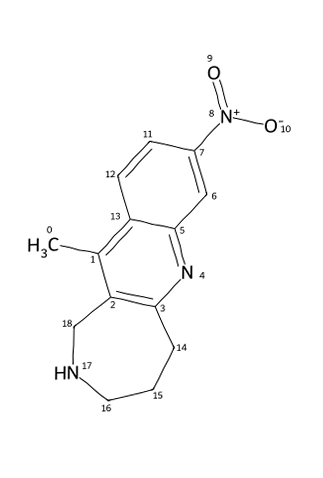 Cc1c2c(nc3cc([N+](=O)[O-])ccc13)CCCNC2